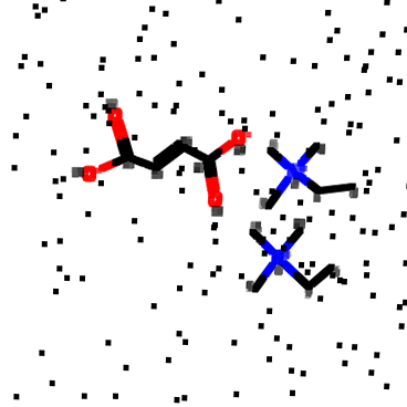 CC[N+](C)(C)C.CC[N+](C)(C)C.O=C([O-])C=CC(=O)[O-]